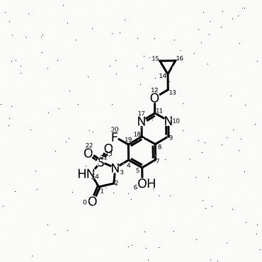 O=C1CN(c2c(O)cc3cnc(OCC4CC4)nc3c2F)S(=O)(=O)N1